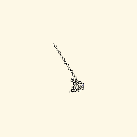 CCCOCCOCCOCCOCCOCCOCCOCCOCCOCCOCCOCCOc1ccc(/C(C)=N\NC(=O)C(C)(C)C(=O)N[C@@H]2CCc3c(C)c(F)cc4nc5c(c2c34)Cn2c-5cc3c(c2=O)COC(=O)C3CC)cc1